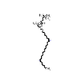 CCCCC/C=C\CCCCCCCCCC/C=C\CCCCCOC[C@H](COC)OP(=O)([O-])OCC[N+](C)(C)C